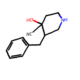 N#CC1(O)CCNCC1Cc1ccccc1